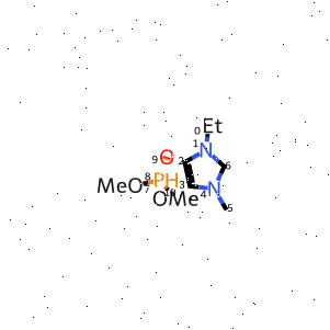 CCN1C=CN(C)C1.CO[PH](=O)OC